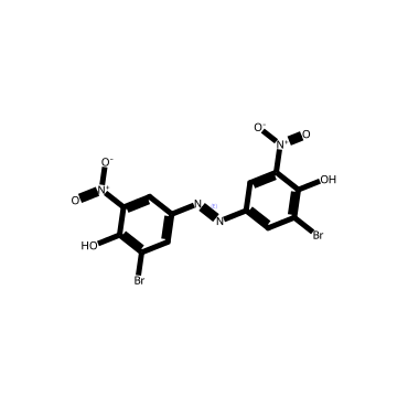 O=[N+]([O-])c1cc(/N=N/c2cc(Br)c(O)c([N+](=O)[O-])c2)cc(Br)c1O